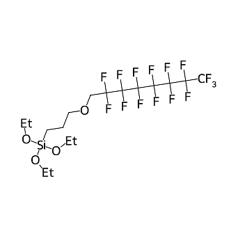 CCO[Si](CCCOCC(F)(F)C(F)(F)C(F)(F)C(F)(F)C(F)(F)C(F)(F)C(F)(F)F)(OCC)OCC